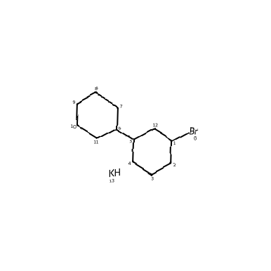 BrC1CCCC(C2CCCCC2)C1.[KH]